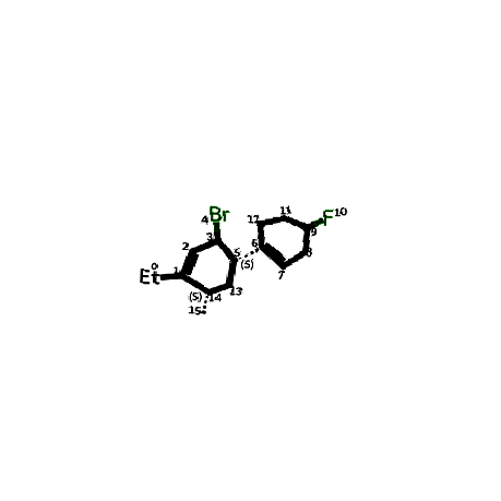 CCC1=CC(Br)[C@H](C2=CCC(F)CC2)C[C@@H]1C